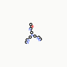 c1cnc2nc(-c3ccc(N(c4ccc(-c5cc6oc7ccccc7c6cn5)cc4)c4ccc(-c5ccc6cccnc6n5)cc4)cc3)ccc2c1